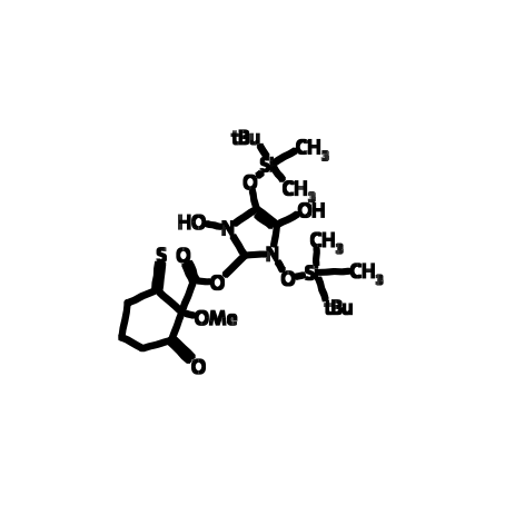 [CH]OC1(C(=O)OC2N(O)C(O[Si](C)(C)C(C)(C)C)=C(O)N2O[Si](C)(C)C(C)(C)C)C(=O)CCCC1=S